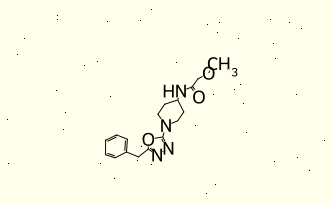 COCC(=O)NC1CCN(c2nnc(Cc3ccccc3)o2)CC1